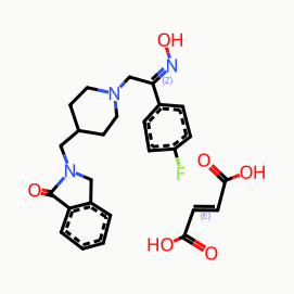 O=C(O)/C=C/C(=O)O.O=C1c2ccccc2CN1CC1CCN(C/C(=N\O)c2ccc(F)cc2)CC1